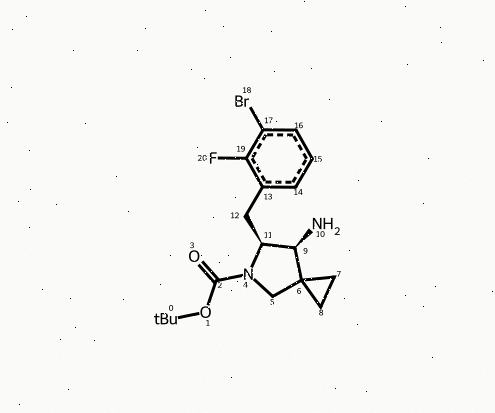 CC(C)(C)OC(=O)N1CC2(CC2)[C@H](N)[C@@H]1Cc1cccc(Br)c1F